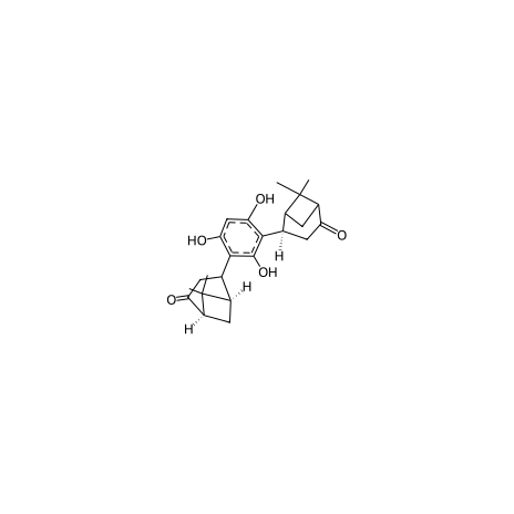 CC1(C)C2CC1[C@H](c1c(O)cc(O)c(C3CC(=O)[C@@H]4C[C@H]3C4(C)C)c1O)CC2=O